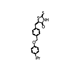 CC(C)c1ccc(OCc2ccc(C=C3SC(=S)NC3=O)cc2)cc1